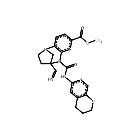 COC(=O)c1ccc2c(n1)N(C(=O)Nc1cc3c(cn1)OCCC3)C1(C=N)CCN2C1